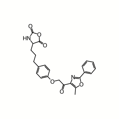 Cc1oc(-c2ccccc2)nc1C(=O)COc1ccc(CCCC2NC(=O)OC2=O)cc1